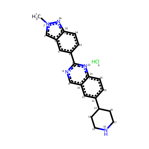 Cl.Cn1cc2cc(-c3ncc4cc(C5CCNCC5)ccc4n3)ccc2n1